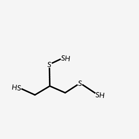 SCC(CSS)SS